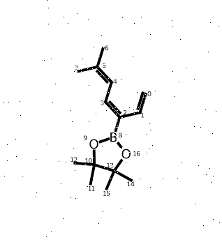 C=C/C(=C\C=C(C)C)B1OC(C)(C)C(C)(C)O1